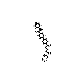 C=CC(=O)NCCOC(=O)C1CCC(C2CCC(C(=O)Nc3ccccc3)CC2)CC1